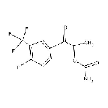 CC(OC(N)=O)C(=O)c1ccc(F)c(C(F)(F)F)c1